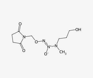 CN(CCCO)[N+]([O-])=NOCN1C(=O)CCC1=O